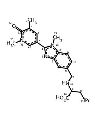 Cc1cc(-c2nc3cc(CN[C@@H](CC(C)C)C(=O)O)ccc3n2C)cn(C)c1=O